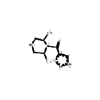 CC1CNCC(C)N1C(=O)c1c[nH]nn1